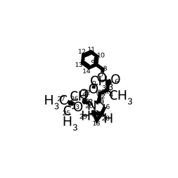 CO[C@H]([C@@H](C)C(=O)OCc1ccccc1)[C@@H]1C[C@@H]2C[C@@H]2N1C(=O)OC(C)(C)C